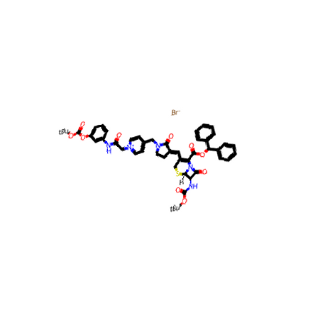 CC(C)(C)OC(=O)N[C@@H]1C(=O)N2C(C(=O)OC(c3ccccc3)c3ccccc3)=C(C=C3CCN(Cc4cc[n+](CC(=O)Nc5cccc(OC(=O)OC(C)(C)C)c5)cc4)C3=O)CS[C@H]12.[Br-]